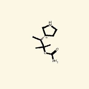 CC([C@H]1CCNC1)C(C)(C)OC(N)=O